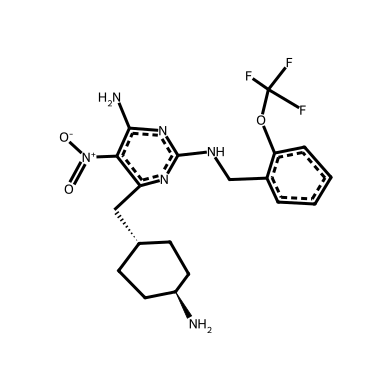 Nc1nc(NCc2ccccc2OC(F)(F)F)nc(C[C@H]2CC[C@H](N)CC2)c1[N+](=O)[O-]